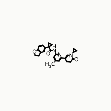 Cc1cc(NC(=O)C2(c3ccc4c(c3)CCO4)CC2)nc(-c2ccc(=O)n(C3CC3)c2)c1